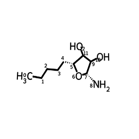 CCCCC[C@H]1O[C@@H](N)C(O)C1O